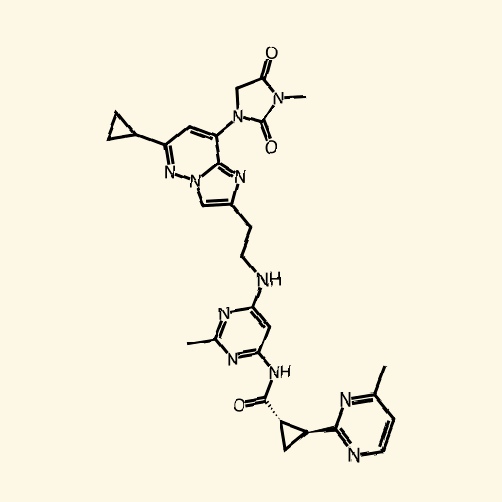 Cc1ccnc([C@H]2C[C@@H]2C(=O)Nc2cc(NCCc3cn4nc(C5CC5)cc(N5CC(=O)N(C)C5=O)c4n3)nc(C)n2)n1